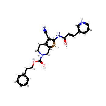 N#Cc1c(NC(=O)C=Cc2cccnc2)sc2c1CCN(C(=O)OCCc1ccccc1)C2